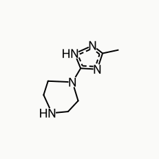 Cc1n[nH]c(N2CCNCC2)n1